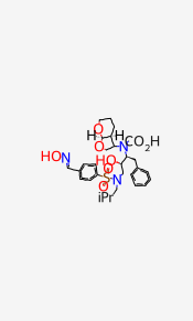 CC(C)CN(C[C@@H](O)[C@H](Cc1ccccc1)N(C(=O)O)C1CO[C@H]2OCCC[C@@H]12)S(=O)(=O)c1ccc(C=NO)cc1